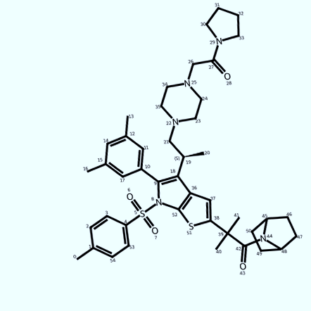 Cc1ccc(S(=O)(=O)n2c(-c3cc(C)cc(C)c3)c([C@H](C)CN3CCN(CC(=O)N4CCCC4)CC3)c3cc(C(C)(C)C(=O)N4C5CCC4CC5)sc32)cc1